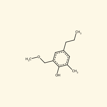 CCCc1cc(C)c(O)c(COC)c1